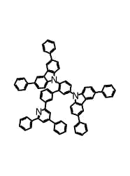 c1ccc(-c2cc(-c3ccccc3)nc(-c3cccc(-c4cc(-n5c6ccc(-c7ccccc7)cc6c6cc(-c7ccccc7)ccc65)ccc4-n4c5ccc(-c6ccccc6)cc5c5cc(-c6ccccc6)ccc54)c3)c2)cc1